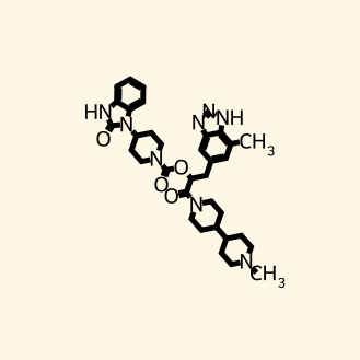 Cc1cc(CC(OC(=O)N2CCC(n3c(=O)[nH]c4ccccc43)CC2)C(=O)N2CCC(C3CCN(C)CC3)CC2)cc2nn[nH]c12